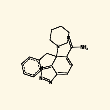 NC(=O)C1=CC=C2N=NN=C2C1(Cc1ccccc1)N1CCCCC1